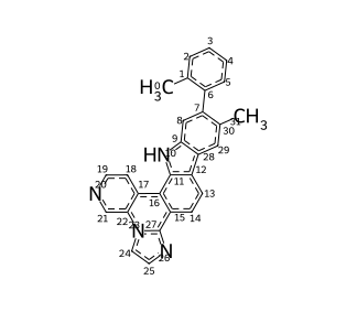 Cc1ccccc1-c1cc2[nH]c3c(ccc4c3c3ccncc3n3ccnc43)c2cc1C